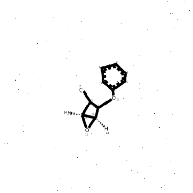 ClC1C(Oc2ccccc2)[C@H]2O[C@@H]12